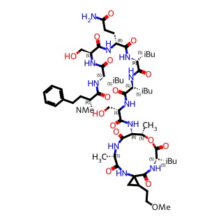 CC[C@H](C)[C@H](NC(=O)[C@@H](CCc1ccccc1)NC)C(=O)N[C@@H](CO)C(=O)N[C@H](CCC(N)=O)C(=O)N[C@@H](C(=O)N[C@H](C(=O)N[C@@H](CO)C(=O)N[C@H]1C(=O)N[C@@H](C)C(=O)NC2(CC2CCOC)C(=O)N[C@@H]([C@@H](C)CC)C(=O)O[C@H]1C)[C@@H](C)CC)[C@@H](C)CC